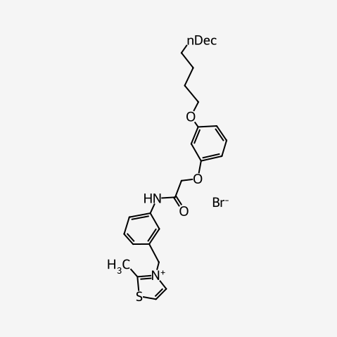 CCCCCCCCCCCCCCOc1cccc(OCC(=O)Nc2cccc(C[n+]3ccsc3C)c2)c1.[Br-]